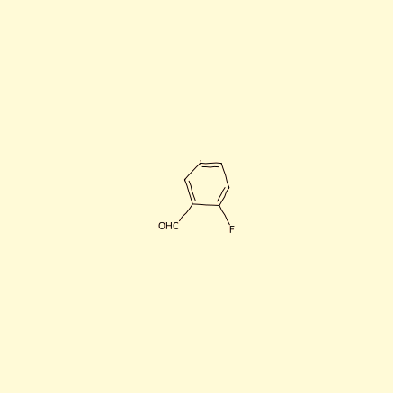 O=Cc1c[c]ccc1F